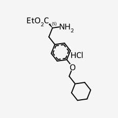 CCOC(=O)[C@@H](N)Cc1ccc(OCC2CCCCC2)cc1.Cl